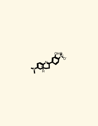 CN(C)C1=CC=C2N=C(c3ccc([N+](=O)[O-])c(O)c3)CC[C@@H]2C1